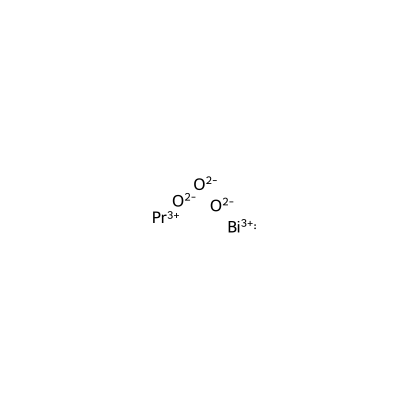 [Bi+3].[O-2].[O-2].[O-2].[Pr+3]